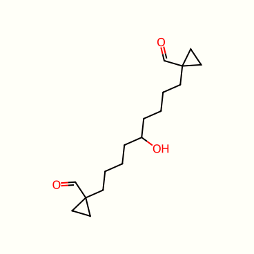 O=CC1(CCCCC(O)CCCCC2(C=O)CC2)CC1